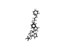 CC(C)(C)OC(=O)N1CCC[C@H]1C(=O)N1CCc2cc(OCCCN3CCCCC3)ccc21